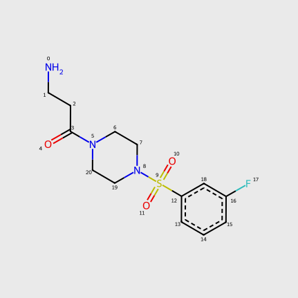 NCCC(=O)N1CCN(S(=O)(=O)c2cccc(F)c2)CC1